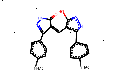 CC(=O)Nc1ccc(C2=NNC(=O)C2=Cc2c(-c3ccc(NC(C)=O)cc3)n[nH]c2O)cc1